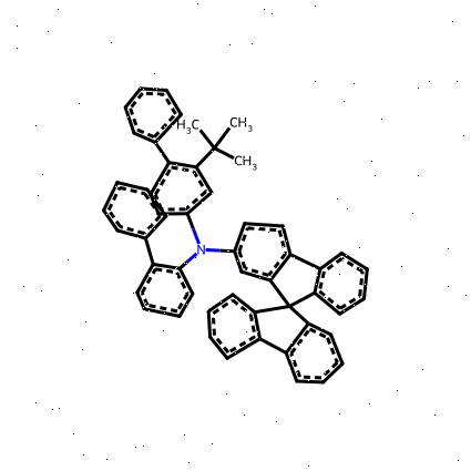 CC(C)(C)c1cc(N(c2ccc3c(c2)C2(c4ccccc4-c4ccccc42)c2ccccc2-3)c2ccccc2-c2ccccc2)ccc1-c1ccccc1